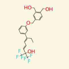 CC/C(=C\C=C\C(O)(C(F)(F)F)C(F)(F)F)c1cccc(OCc2ccc(CO)c(CO)c2)c1